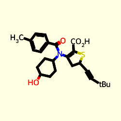 Cc1ccc(C(=O)N(C2=C(C(=O)O)SC(C#CC(C)(C)C)C2)C2CCC(O)CC2)cc1